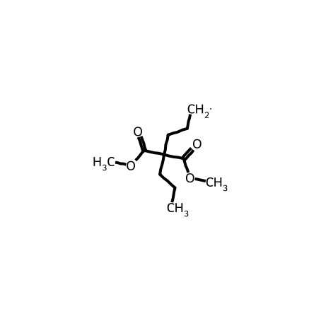 [CH2]CCC(CCC)(C(=O)OC)C(=O)OC